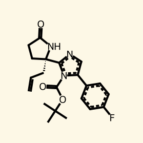 C=CC[C@]1(c2ncc(-c3ccc(F)cc3)n2C(=O)OC(C)(C)C)CCC(=O)N1